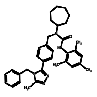 Cc1cc(C)c(NC(=O)N(Cc2ccc(-c3nnc(C)n3Cc3ccccc3)cc2)C2CCCCCC2)c(C)c1